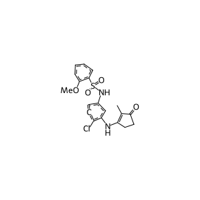 COc1ccccc1S(=O)(=O)Nc1ccc(Cl)c(NC2=C(C)C(=O)CC2)c1